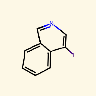 Ic1cncc2ccccc12